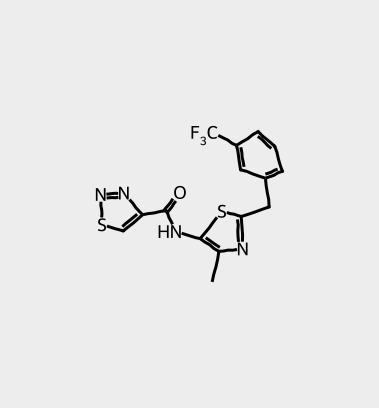 Cc1nc(Cc2cccc(C(F)(F)F)c2)sc1NC(=O)c1csnn1